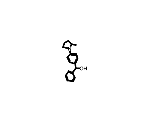 CC1CCCN1c1ccc(C(O)c2ccccc2)cc1